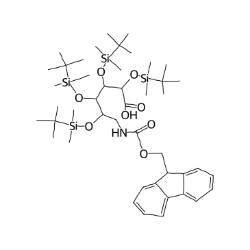 CC(C)(C)[Si](C)(C)OC(CNC(=O)OCC1c2ccccc2-c2ccccc21)C(O[Si](C)(C)C(C)(C)C)C(O[Si](C)(C)C(C)(C)C)C(O[Si](C)(C)C(C)(C)C)C(=O)O